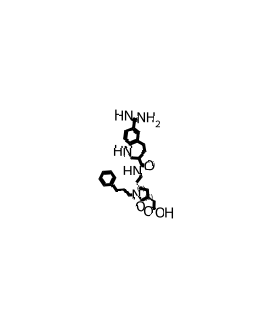 N=C(N)c1ccc2c(c1)CCC(C(=O)NCC[C@@H]1C[C@@H](CC(=O)O)C(=O)N1CCCc1ccccc1)CN2